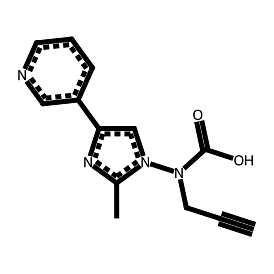 C#CCN(C(=O)O)n1cc(-c2cccnc2)nc1C